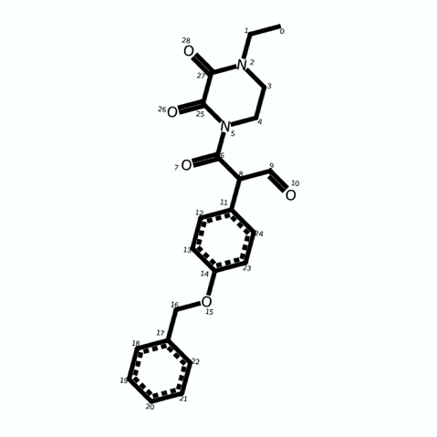 CCN1CCN(C(=O)C([C]=O)c2ccc(OCc3ccccc3)cc2)C(=O)C1=O